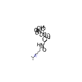 COc1cc(CNC(=O)CCCC/C=C/C(C)C)ccc1OC(=O)c1ccccc1N(C)P(=O)(O)OC